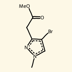 COC(=O)Cc1nn(C)cc1Br